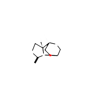 O=C1OC[C@@H]2[C@@H]3CCC(CN3)CN12